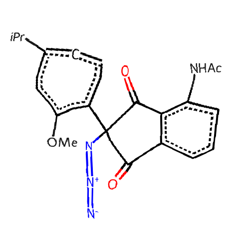 COc1cc(C(C)C)ccc1C1(N=[N+]=[N-])C(=O)c2cccc(NC(C)=O)c2C1=O